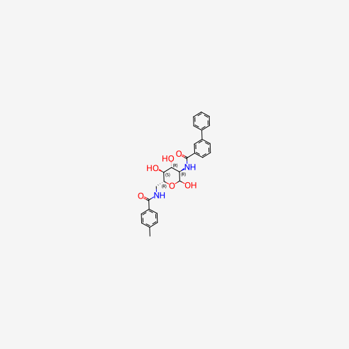 Cc1ccc(C(=O)NC[C@H]2OC(O)[C@H](NC(=O)c3cccc(-c4ccccc4)c3)[C@@H](O)[C@@H]2O)cc1